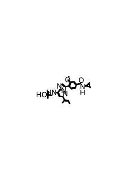 CC=C(C)c1cc(NCC(C)(C)O)c2ncc(-c3ccc(C(=O)NC4CC4)cc3OC)n2n1